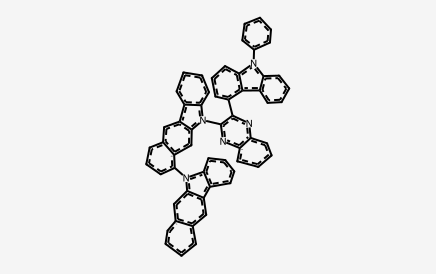 c1ccc(-n2c3ccccc3c3c(-c4nc5ccccc5nc4-n4c5ccccc5c5cc6cccc(-n7c8ccccc8c8cc9ccccc9cc87)c6cc54)cccc32)cc1